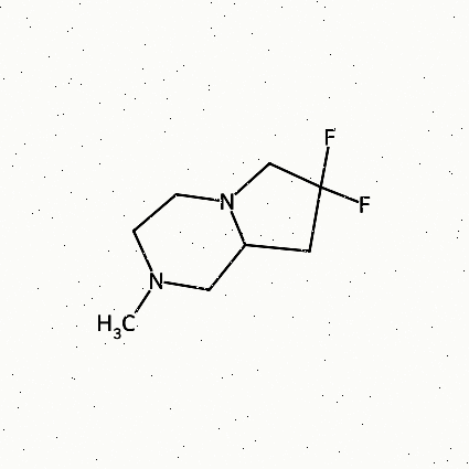 CN1CCN2CC(F)(F)CC2C1